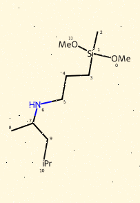 CO[Si](C)(CCCNC(C)CC(C)C)OC